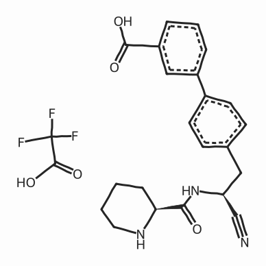 N#C[C@H](Cc1ccc(-c2cccc(C(=O)O)c2)cc1)NC(=O)[C@@H]1CCCCN1.O=C(O)C(F)(F)F